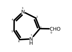 O=CC1=CN=CC=CN1